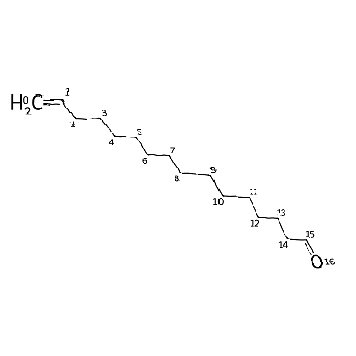 C=CCCCCCCCCCCCCCC=O